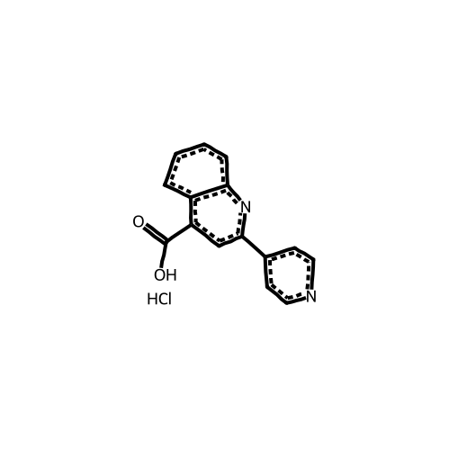 Cl.O=C(O)c1cc(-c2ccncc2)nc2ccccc12